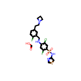 O=CO.O=S(=O)(Nc1cscn1)c1cc(Cl)c(NCc2cc(CCN3CCC3)ccc2F)cc1F